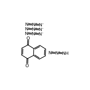 O=C1C=CC(=O)c2ccccc21.[N-]=[N+]=N.[N-]=[N+]=[N-].[N-]=[N+]=[N-].[N-]=[N+]=[N-]